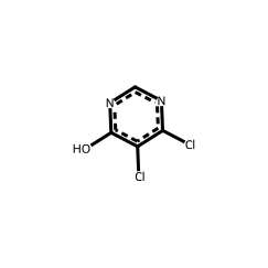 Oc1ncnc(Cl)c1Cl